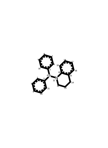 c1ccc(P(c2ccccc2)N2CCCc3ccccc32)cc1